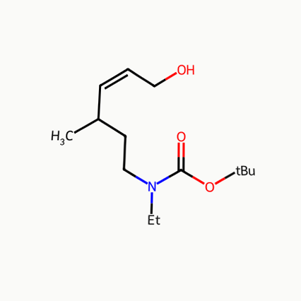 CCN(CCC(C)/C=C\CO)C(=O)OC(C)(C)C